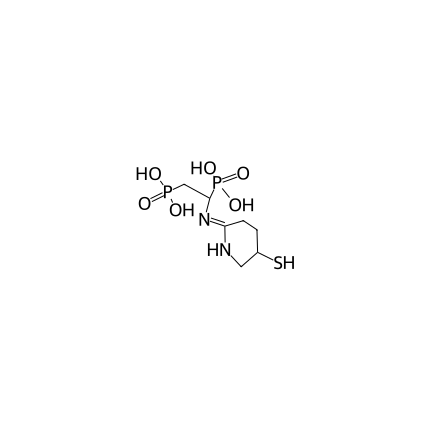 O=P(O)(O)CC(/N=C1\CCC(S)CN1)P(=O)(O)O